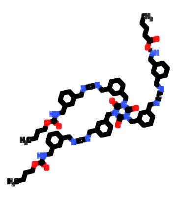 CCCCOC(=O)NCC1CCCC(CN=C=NCC2CCCC(Cn3c(=O)n(CC4CCCC(CN=C=NCC5CCCC(CNOC(=O)CCCC)C5)C4)c(=O)n(CC4CCCC(CN=C=NCC5CCCC(CNC(=O)OCCCC)C5)C4)c3=O)C2)C1